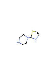 C1=CS[C](N2CCNCC2)N1